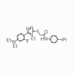 CCN(CC)c1ccc(-c2nnc(SCC(=O)Nc3ccc(C(C)C)cc3)n2CC)c(F)c1